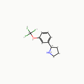 FC(F)(F)Oc1cccc(C2CCCN2)c1